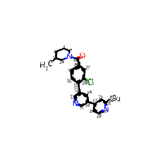 CC1CCCN(C(=O)c2ccc(-c3cncc(-c4ccnc(C(C)(C)C)c4)c3)c(Cl)c2)C1